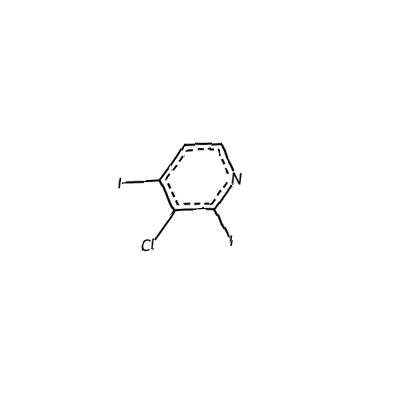 Clc1c(I)ccnc1I